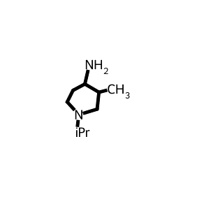 CC1CN(C(C)C)CCC1N